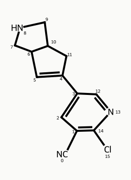 N#Cc1cc(C2=CC3CNCC3C2)cnc1Cl